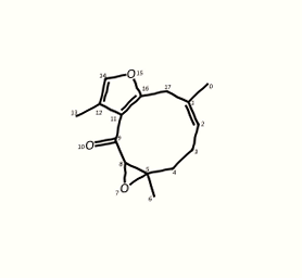 CC1=CCCC2(C)OC2C(=O)c2c(C)coc2C1